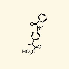 CC(C(=O)C(=O)O)c1ccc(N2Cc3ccccc3C2=O)cc1